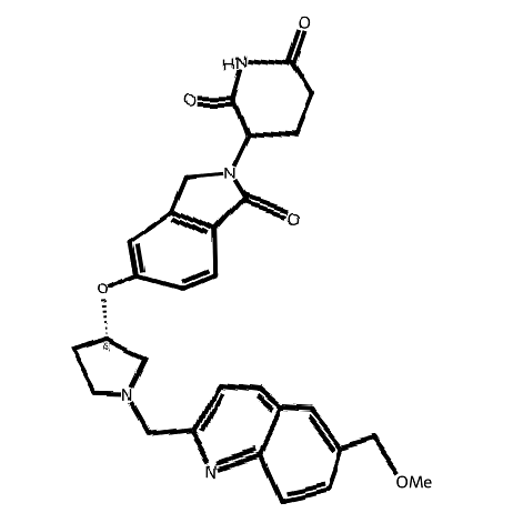 COCc1ccc2nc(CN3CC[C@H](Oc4ccc5c(c4)CN(C4CCC(=O)NC4=O)C5=O)C3)ccc2c1